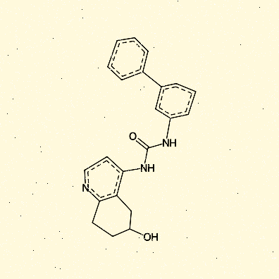 O=C(Nc1cccc(-c2ccccc2)c1)Nc1ccnc2c1CC(O)CC2